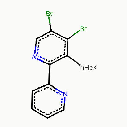 CCCCCCc1c(-c2ccccn2)ncc(Br)c1Br